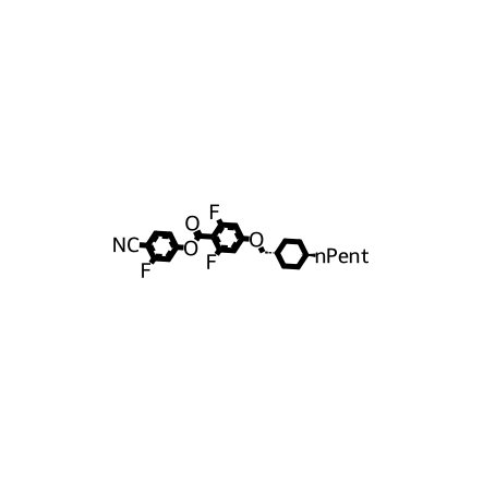 CCCCC[C@H]1CC[C@H](COc2cc(F)c(C(=O)Oc3ccc(C#N)c(F)c3)c(F)c2)CC1